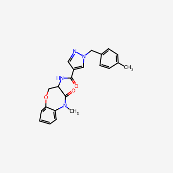 Cc1ccc(Cn2cc(C(=O)NC3COc4ccccc4N(C)C3=O)cn2)cc1